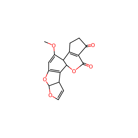 COC1=CC2=C(C3C=COC3O2)C2OC(=O)C3=C(CCC3=O)C12